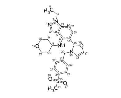 CCn1ncc2c(NC3CCOCC3)c(C3OC=CN3Cc3ccc(S(C)(=O)=O)cc3)cnc21